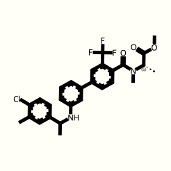 COC(=O)[C@H](C)N(C)C(=O)c1ccc(-c2cccc(NC(C)c3ccc(Cl)c(C)c3)c2)cc1C(F)(F)F